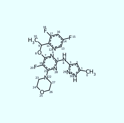 Cc1cc(Nc2nc(OC(C)c3ncc(F)cc3F)c(F)c(N3CCOCC3)n2)n[nH]1